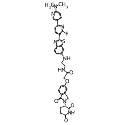 CN(C)c1ccc(-c2ccc(-c3nc4ccc(NCCNC(=O)COc5ccc6c(c5)CN(C5CCC(=O)NC5=O)C6=O)cc4s3)c(F)n2)cn1